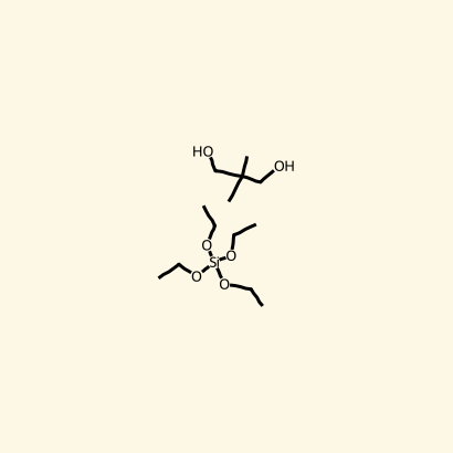 CC(C)(CO)CO.CCO[Si](OCC)(OCC)OCC